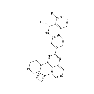 C[C@@H](Nc1cc(-c2nc(N3CCNCC3)c3c(C4=CC=C4)cncc3n2)ccn1)c1ccccc1F